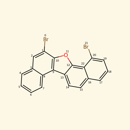 Brc1cc2ccccc2c2c1oc1c2ccc2cccc(Br)c21